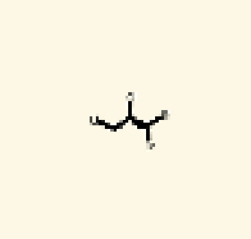 ClCC(Cl)=C(Br)Br